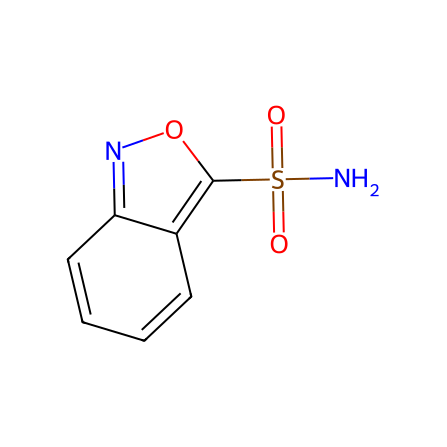 NS(=O)(=O)c1onc2ccccc12